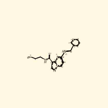 CC(C)(C)CCNC(=O)c1cnn2ccc(NCc3cccnc3)nc12